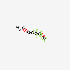 CCOc1ccc(-c2ccc(-c3cc(F)c(-c4cc(F)c(C(F)(F)Oc5cc(F)c(F)c(F)c5)c(F)c4)c(F)c3)c(F)c2)cc1